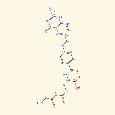 NCC(=O)OC(=O)CC[C@H](NC(=O)c1ccc(NCc2cnc3[nH]c(N)nc(=O)c3n2)cc1)C(=O)O